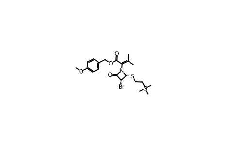 COc1ccc(COC(=O)C(=C(C)C)N2C(=O)[C@H](Br)[C@H]2SC=C[Si](C)(C)C)cc1